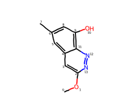 COc1cc2cc(C)cc(O)c2nn1